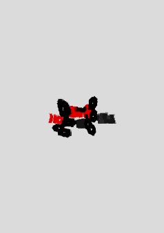 Cc1ccc2ccccc2c1-c1cc(C(C)(C)C)cc(-c2ccccc2OCCCOc2ccccc2-c2cc(C(C)(C)C)cc(-c3cccc4ccccc34)c2O)c1O